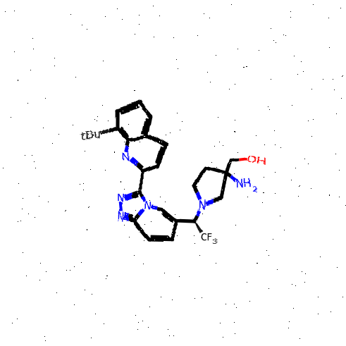 CC(C)(C)c1cccc2ccc(-c3nnc4ccc([C@@H](N5CCC(N)(CO)C5)C(F)(F)F)cn34)nc12